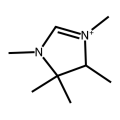 CC1[N+](C)=CN(C)C1(C)C